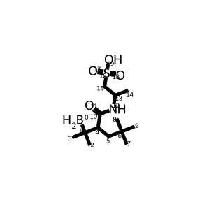 BC(C)(C)C(CC(C)(C)C)C(=O)NC(C)CS(=O)(=O)O